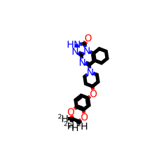 [2H]C1([2H])Oc2ccc(OC3CCN(c4nc5n[nH]c(=O)n5c5c4CCCC5)CC3)cc2OC1([2H])[2H]